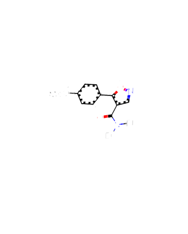 CCN(CC)C(=O)c1cnoc1-c1ccc(OC)cc1